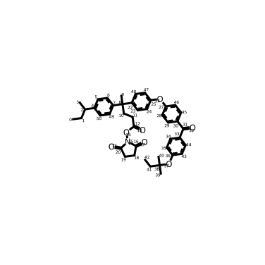 CCC(C)c1ccc(C(C)(CCC(=O)ON2C(=O)CCC2=O)c2ccc(Oc3ccc(C(=O)c4ccc(OC(C)(C)CC)cc4)cc3)cc2)cc1